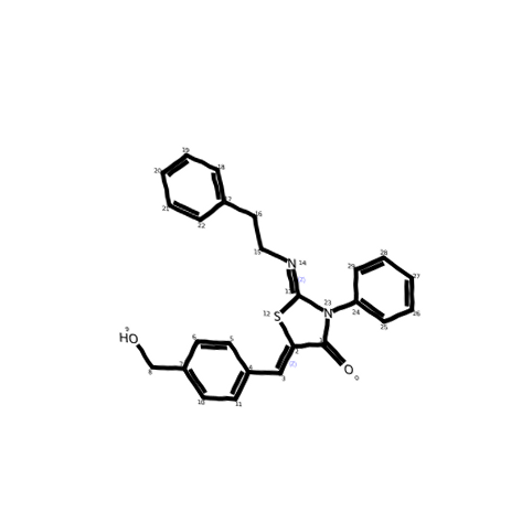 O=C1/C(=C/c2ccc(CO)cc2)S/C(=N\CCc2ccccc2)N1c1ccccc1